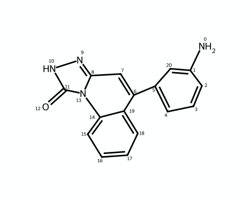 Nc1cccc(-c2cc3n[nH]c(=O)n3c3ccccc23)c1